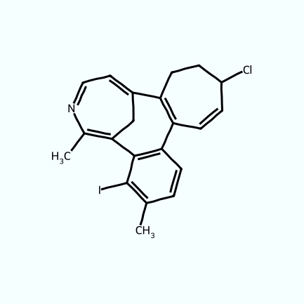 CC1=C2CC(=CC=N1)C1=C(C=CC(Cl)CC1)c1ccc(C)c(I)c12